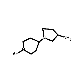 CC(=O)N1CCC(N2CCC(N)C2)CC1